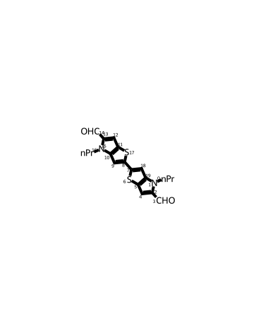 CCCn1c(C=O)cc2sc(-c3cc4c(cc(C=O)n4CCC)s3)cc21